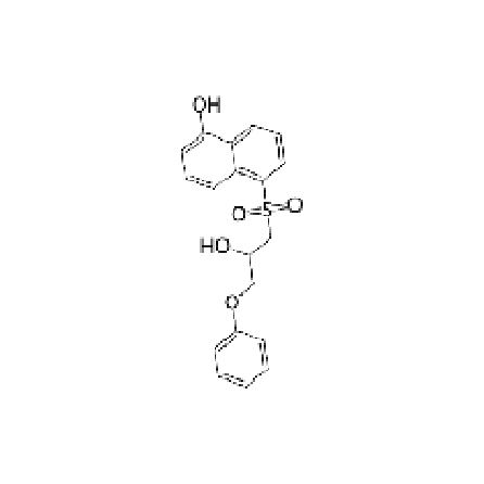 O=S(=O)(CC(O)COc1ccccc1)c1cccc2c(O)cccc12